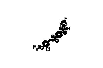 O=S(=O)(CCc1ccc(OC(F)(F)F)c(Cl)c1)c1ccc(S(=O)(=O)Nc2ncc(F)s2)cc1